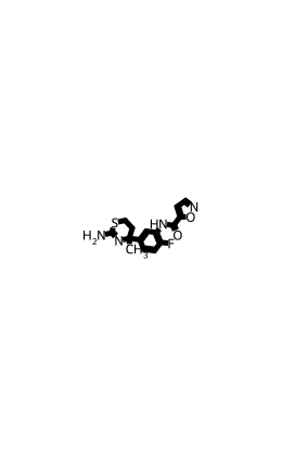 CC1(c2ccc(F)c(NC(=O)c3ccno3)c2)CCSC(N)=N1